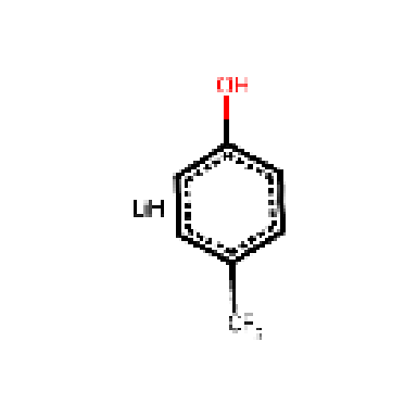 Oc1ccc(C(F)(F)F)cc1.[LiH]